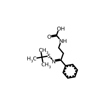 CC(C)(C)SN=C(CCNC(=O)O)c1ccccc1